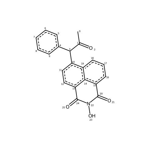 CC(=O)C(c1ccccc1)c1ccc2c3c(cccc13)C(=O)N(O)C2=O